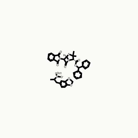 CC1(C)S[C@@H]2C(N3C(=O)c4ccccc4C3=O)C(=O)N2[C@H]1C(=O)OC(c1ccccc1)c1ccccc1.CCCCCCCC[S+]([O-])C(C)Cc1ccc2c(c1)OCO2